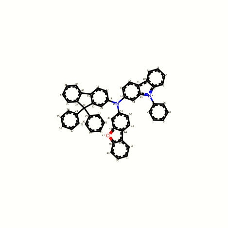 c1ccc(-n2c3ccccc3c3ccc(N(c4ccc5c(c4)C(c4ccccc4)(c4ccccc4)c4ccccc4-5)c4ccc5c(c4)oc4ccccc45)cc32)cc1